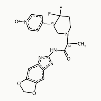 C[C@@H](C(=O)Nc1nc2cc3c(cc2s1)OCO3)N1CCC(F)(F)[C@@H](c2cc[n+]([O-])cc2)C1